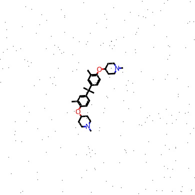 Cc1cc(C(C)(C)c2ccc(OC3CCN(C)CC3)c(C)c2)ccc1OC1CCN(C)CC1